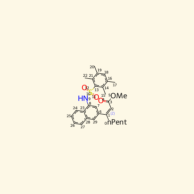 CCCCC/C(=C/C(=O)OC)c1cc(NS(=O)(=O)c2c(C)c(C)cc(C)c2C)c2ccccc2c1